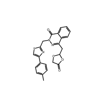 Cc1ccc(-c2csc(Cn3nc(CC4OCC(=O)O4)c4ccccc4c3=O)n2)cc1